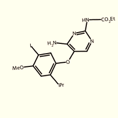 CCOC(=O)Nc1ncc(Oc2cc(I)c(OC)cc2C(C)C)c(N)n1